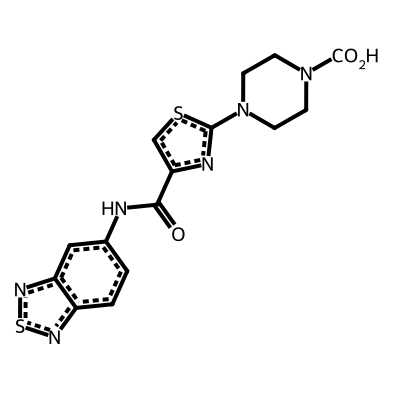 O=C(Nc1ccc2nsnc2c1)c1csc(N2CCN(C(=O)O)CC2)n1